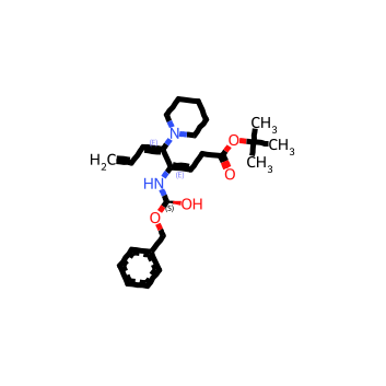 C=C/C=C(\C(=C/CC(=O)OC(C)(C)C)N[C@@H](O)OCc1ccccc1)N1CCCCC1